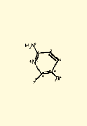 Nc1ccc(Br)c(I)n1